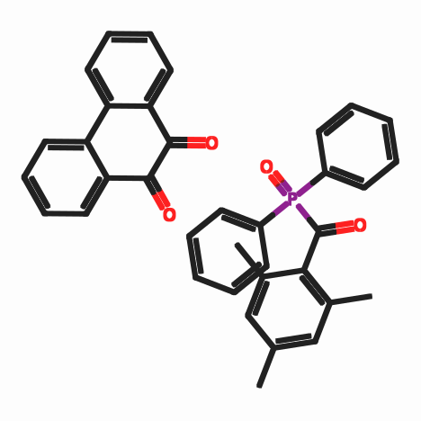 Cc1cc(C)c(C(=O)P(=O)(c2ccccc2)c2ccccc2)c(C)c1.O=C1C(=O)c2ccccc2-c2ccccc21